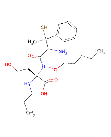 CCCCCON(C(=O)C(N)[C@@](C)(S)c1ccccc1)[C@@](CCO)(NCCC)C(=O)O